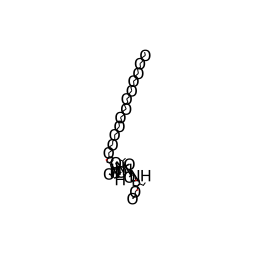 CCc1cc(NC(=O)CNC(=O)C(NC(=O)C(Cc2ccc(OCCOCCOCCOCCOCCOCCOCCOCCOCCOCCOCCOC)cc2)N2C(=O)C=CC2=O)C(C)C)ccc1COC=O